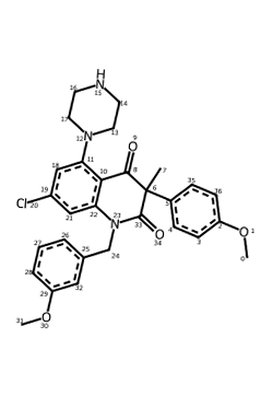 COc1ccc(C2(C)C(=O)c3c(N4CCNCC4)cc(Cl)cc3N(Cc3cccc(OC)c3)C2=O)cc1